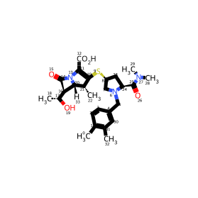 Cc1ccc(CN2C[C@@H](SC3=C(C(=O)O)N4C(=O)[C@H]([C@@H](C)O)[C@H]4[C@H]3C)C[C@H]2C(=O)N(C)C)cc1C